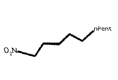 CCCCCCCCCC[N+](=O)[O-]